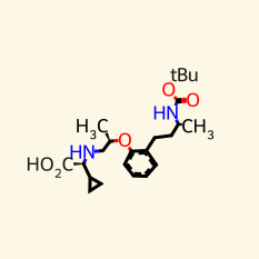 C[C@H](CN[C@H](C(=O)O)C1CC1)Oc1ccccc1CC[C@H](C)NC(=O)OC(C)(C)C